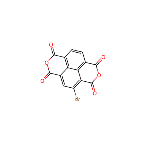 O=C1OC(=O)c2cc(Br)c3c4c(ccc1c24)C(=O)OC3=O